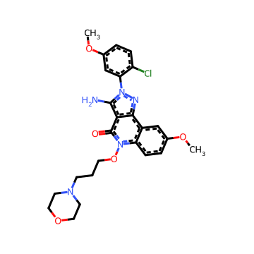 COc1ccc(Cl)c(-n2nc3c(c2N)c(=O)n(OCCCN2CCOCC2)c2ccc(OC)cc32)c1